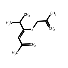 C=C(C)/C=C(\SCC(=C)C)C(C)N